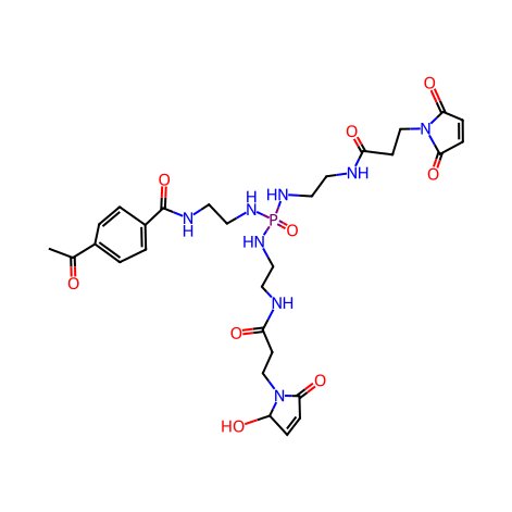 CC(=O)c1ccc(C(=O)NCCNP(=O)(NCCNC(=O)CCN2C(=O)C=CC2=O)NCCNC(=O)CCN2C(=O)C=CC2O)cc1